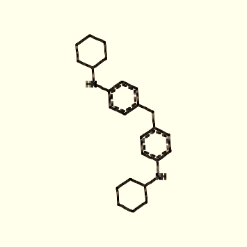 c1cc(NC2CCCCC2)ccc1Cc1ccc(NC2CCCCC2)cc1